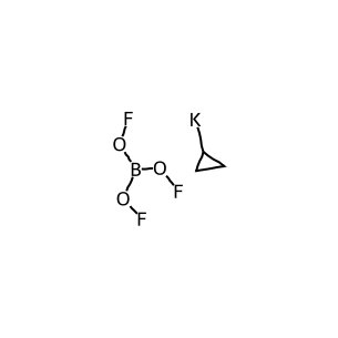 FOB(OF)OF.[K][CH]1CC1